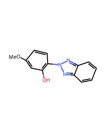 COc1ccc(-n2nc3ccccc3n2)c(O)c1